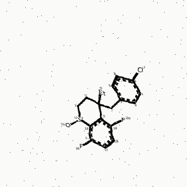 CCC1(Cc2ccc(Cl)cc2)CC[S+]([O-])c2c(F)ccc(F)c21